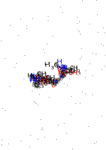 CCNC(=O)c1nnc(-c2cc(C(C)C)c(O)cc2O)n1-c1ccc2c(ccn2CCC2CCN(C(=O)c3ccc(C4(C)OB([C@H](CC(C)C)NC(O)[C@H](Cc5ccccc5)NC(=O)c5cnccn5)OC4(C)C)cc3)CC2)c1